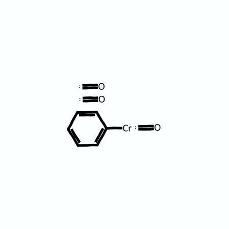 [C]=O.[C]=O.[C]=O.[Cr][c]1ccccc1